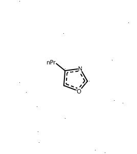 CCCc1co[c]n1